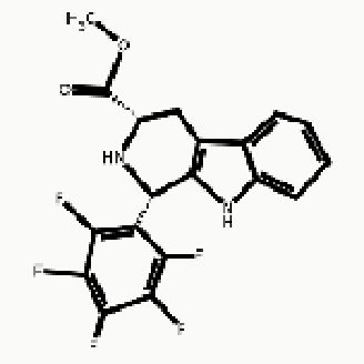 COC(=O)[C@@H]1Cc2c([nH]c3ccccc23)[C@H](c2c(F)c(F)c(F)c(F)c2F)N1